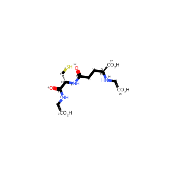 O=C(O)CNC(=O)[C@H](CS)NC(=O)CC[C@H](NCC(=O)O)C(=O)O